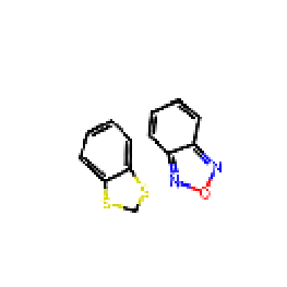 c1ccc2c(c1)SCS2.c1ccc2nonc2c1